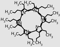 CCCC1=C(CC)c2nc1c1[nH]c(c(CC)c1CCC)c1[nH]c(c3nc(c4[nH]c(c(CCC)c4CC)c4[nH]c2c(CC)c4CCC)C(CC)=C3CCC)c(CCC)c1CC